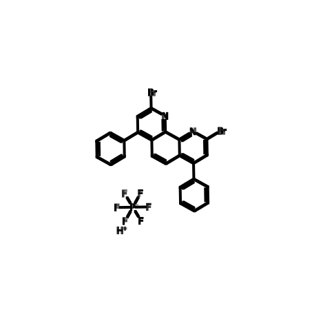 Brc1cc(-c2ccccc2)c2ccc3c(-c4ccccc4)cc(Br)nc3c2n1.F[P-](F)(F)(F)(F)F.[H+]